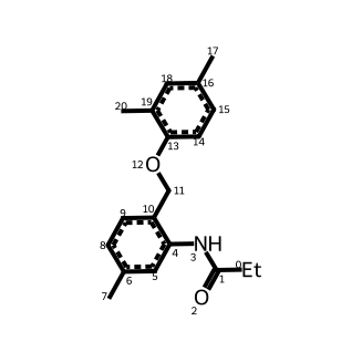 CCC(=O)Nc1cc(C)ccc1COc1ccc(C)cc1C